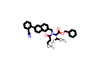 CCCC(=O)N(Cc1ccc2cc(-c3ccccc3C#N)ccc2c1)[C@H](C(=O)OCc1ccccc1)C(C)C